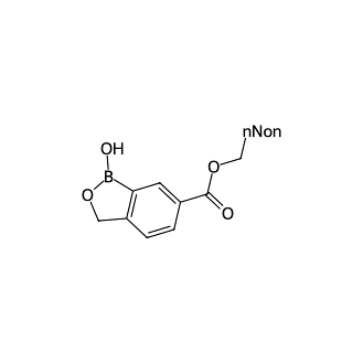 CCCCCCCCCCOC(=O)c1ccc2c(c1)B(O)OC2